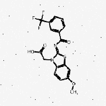 COc1ccc2c(c1)sc(=NC(=O)c1cccc(C(F)(F)F)c1)n2CC(=O)O